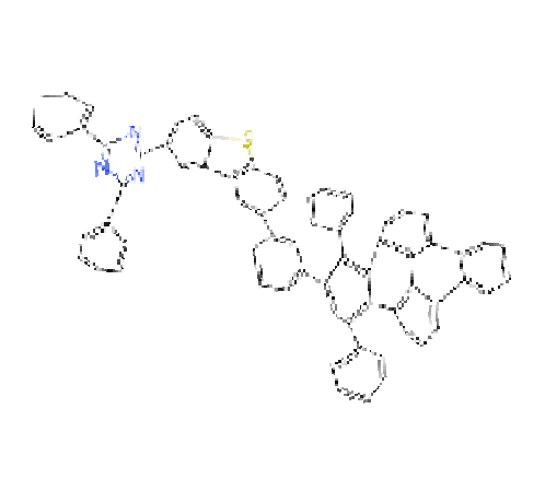 c1ccc(-c2nc(-c3ccccc3)nc(-c3ccc4sc5ccc(-c6cccc(-c7cc(-c8ccccc8)c8c9cccc%10c%11ccccc%11c%11cccc(c8c7-c7ccccc7)c%11c%109)c6)cc5c4c3)n2)cc1